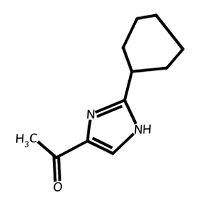 CC(=O)c1c[nH]c(C2CCCCC2)n1